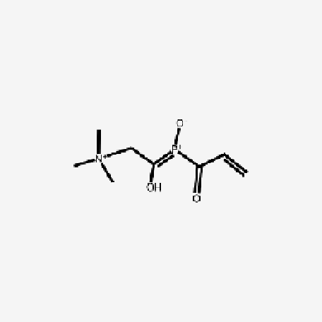 C=CC(=O)/[P+]([O-])=C(\O)C[N+](C)(C)C